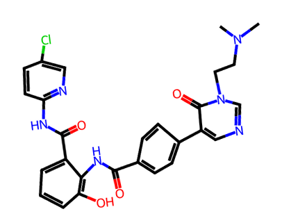 CN(C)CCn1cncc(-c2ccc(C(=O)Nc3c(O)cccc3C(=O)Nc3ccc(Cl)cn3)cc2)c1=O